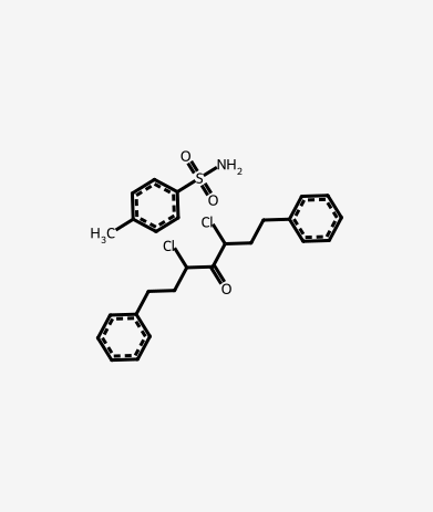 Cc1ccc(S(N)(=O)=O)cc1.O=C(C(Cl)CCc1ccccc1)C(Cl)CCc1ccccc1